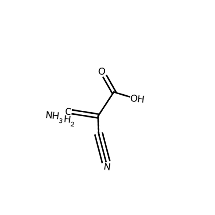 C=C(C#N)C(=O)O.N